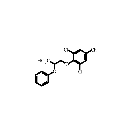 O=C(O)C(COc1c(Cl)cc(C(F)(F)F)cc1Cl)Oc1ccccc1